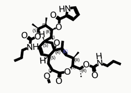 CCCNC(=O)O[C@@H](C)[C@@H](C)[C@@H](OC(=O)c1ccc[nH]1)[C@@H]1O[C@]23C[C@H]1C=C[C@@H]2C[C@H](OC)C(=O)O[C@H]([C@@H](C)OC(=O)NCCC)[C@H](C)/C=C/3C